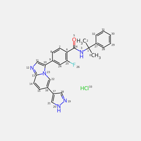 CC(C)(NC(=O)c1ccc(-c2cnc3ccc(-c4cn[nH]c4)cn23)cc1F)c1ccccc1.Cl